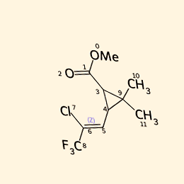 COC(=O)C1C(/C=C(\Cl)C(F)(F)F)C1(C)C